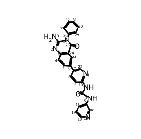 Nc1nc2ccc(-c3ccc(NC(=O)Nc4cccnc4)nc3)cc2c(=O)n1-c1ccccc1